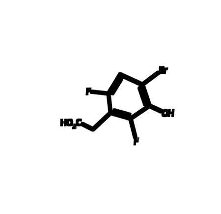 O=C(O)Cc1c(F)cc(Br)c(O)c1F